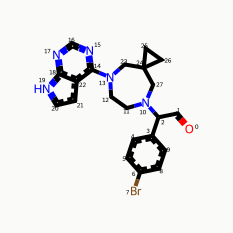 O=CC(c1ccc(Br)cc1)N1CCN(c2ncnc3[nH]ccc23)CC2(CC2)C1